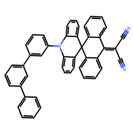 N#CC(C#N)=C1c2ccccc2C2(c3ccccc31)c1ccccc1N(c1cccc(-c3cccc(-c4ccccc4)c3)c1)c1ccccc12